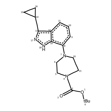 CC(C)(C)OC(=O)N1CCN(c2cccc3c(C4CC4)n[nH]c23)CC1